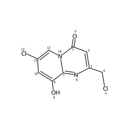 O=c1cc(CCl)nc2c(O)cc(Cl)cn12